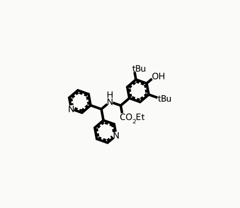 CCOC(=O)C(NC(c1cccnc1)c1cccnc1)c1cc(C(C)(C)C)c(O)c(C(C)(C)C)c1